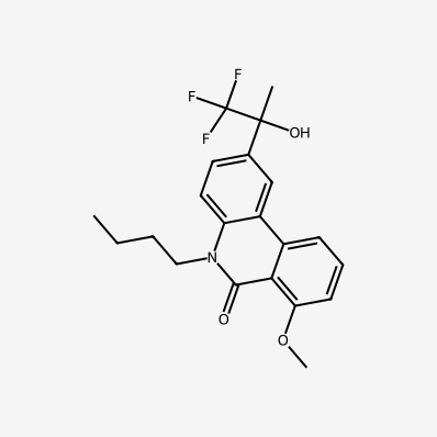 CCCCn1c(=O)c2c(OC)cccc2c2cc(C(C)(O)C(F)(F)F)ccc21